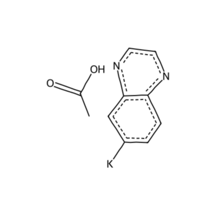 CC(=O)O.[K][c]1ccc2nccnc2c1